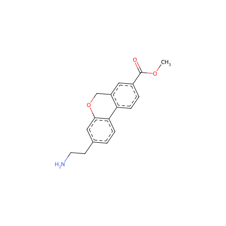 COC(=O)c1ccc2c(c1)COc1cc(CCN)ccc1-2